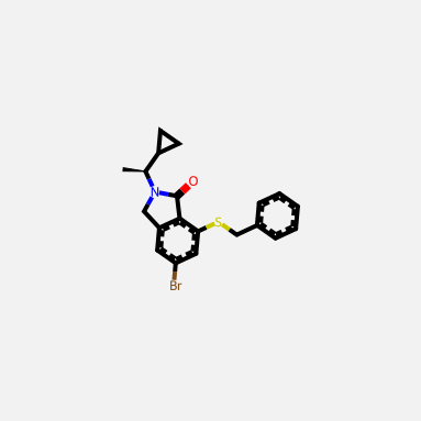 C[C@@H](C1CC1)N1Cc2cc(Br)cc(SCc3ccccc3)c2C1=O